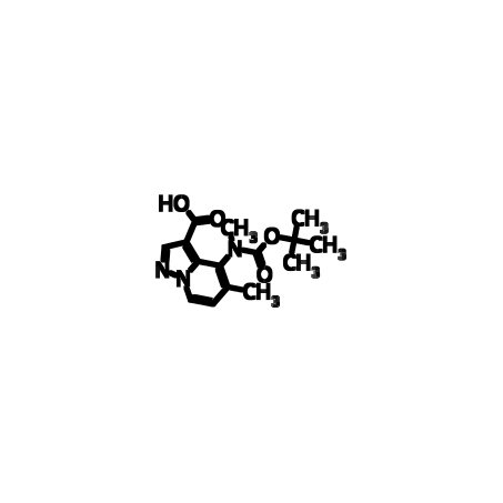 Cc1ccn2ncc(C(=O)O)c2c1N(C)C(=O)OC(C)(C)C